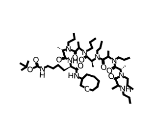 CCCNC(C)C(=O)N(CCC)[C@@H](C)C(=O)N(CCC)C(C)C(=O)N(CCC)[C@@H](C)C(=O)N(CCC)C(C)C(=O)N(CCC)[C@@H](C)C(=O)N[C@H](CCCCNC(=O)OC(C)(C)C)C(=O)NC1CCCCCCC1